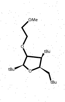 COCCOC1[C@H](C(C)(C)C)O[C@H](CC(C)(C)C)[C@@H]1C(C)(C)C